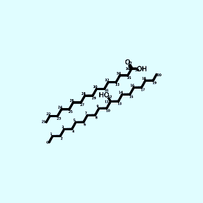 CCCCCCCCCCCC(O)CCCCCCCC.CCCCCCCCCCCCCCCC(=O)O